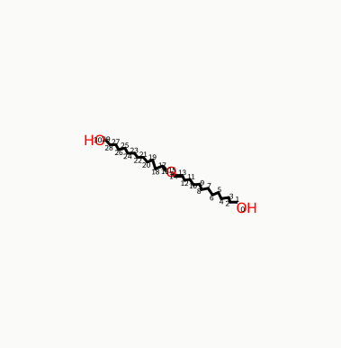 OCCCCCCCCCCCCC=COC=CCCCCCCCCCCCCO